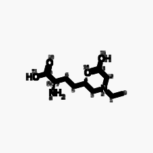 CCN(CCCC[C@H](N)C(=O)O)CC(=O)O